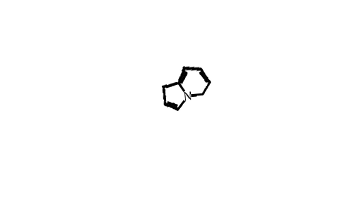 C1=CCN2C=CCC2=C1